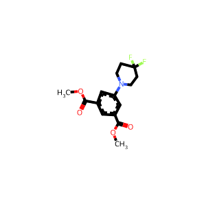 COC(=O)c1cc(C(=O)OC)cc(N2CCC(F)(F)CC2)c1